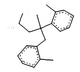 Cc1ccccc1CC(C)(C[C@H](N)O)c1ccccc1C